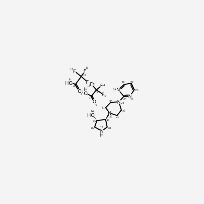 O=C(O)C(F)(F)F.O=C(O)C(F)(F)F.O[C@H]1CNC[C@@H]1N1CCN(c2ncccn2)CC1